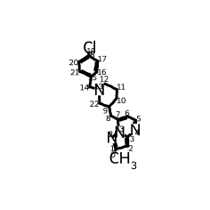 Cc1cc2nccc(CC3CCCN(Cc4ccc(Cl)cc4)C3)n2n1